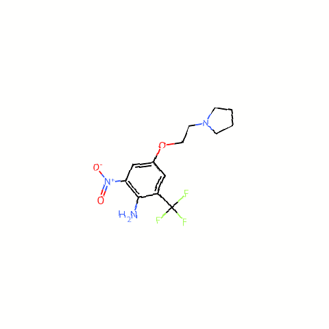 Nc1c([N+](=O)[O-])cc(OCCN2CCCC2)cc1C(F)(F)F